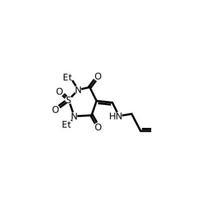 C=CCNC=C1C(=O)N(CC)S(=O)(=O)N(CC)C1=O